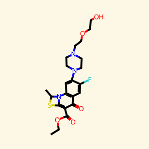 CCOC(=O)c1c2n(c3cc(N4CCN(CCOCCO)CC4)c(F)cc3c1=O)C(C)S2